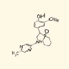 COc1cc(C(CNc2cnc(C)cn2)P2(=O)CCCCC2)ccc1O